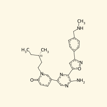 CC[C@H](C)CCn1cc(-c2cnc(N)c(-c3cc(-c4ccc(CNC)cc4)no3)n2)ccc1=O